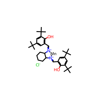 CC(C)(C)c1cc(C=[N+]2[Mn][N+](=Cc3cc(C(C)(C)C)cc(C(C)(C)C)c3O)C3CCCCC32)c(O)c(C(C)(C)C)c1.[Cl-]